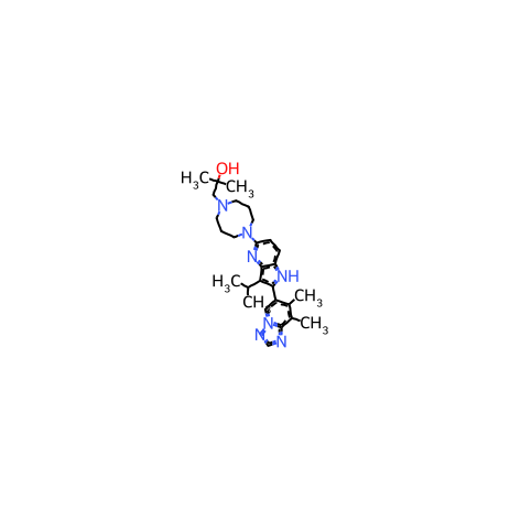 Cc1c(-c2[nH]c3ccc(N4CCCN(CC(C)(C)O)CCC4)nc3c2C(C)C)cn2ncnc2c1C